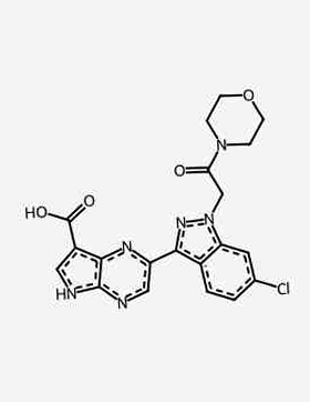 O=C(O)c1c[nH]c2ncc(-c3nn(CC(=O)N4CCOCC4)c4cc(Cl)ccc34)nc12